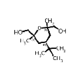 CC(C)(C)[C@H]1C[C@](C)(CO)O[C@](C)(CO)C1